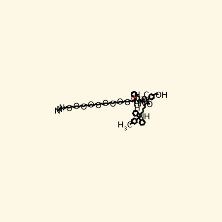 Cc1ccc(C(NCCCCC(NC(=O)C(Cc2ccccc2)NC(=O)CCOCCOCCOCCOCCOCCOCCOCCOCCOCCN=[N+]=[N-])C(=O)Nc2ccc(CO)cc2C)(c2ccccc2)c2ccccc2)cc1